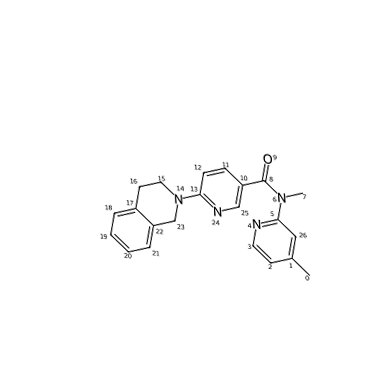 Cc1ccnc(N(C)C(=O)c2ccc(N3CCc4ccccc4C3)nc2)c1